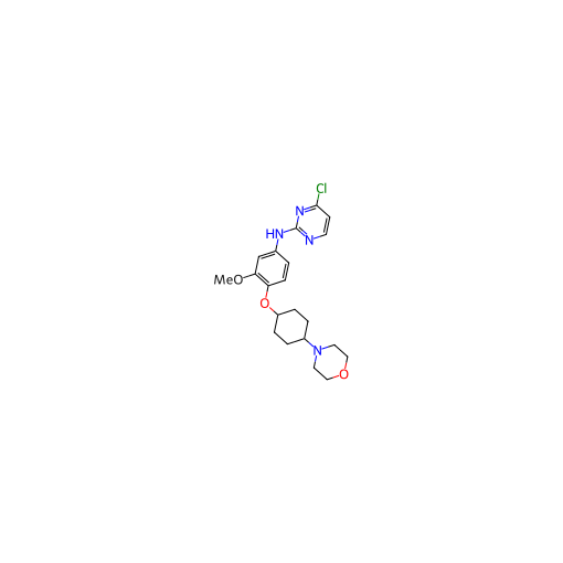 COc1cc(Nc2nccc(Cl)n2)ccc1OC1CCC(N2CCOCC2)CC1